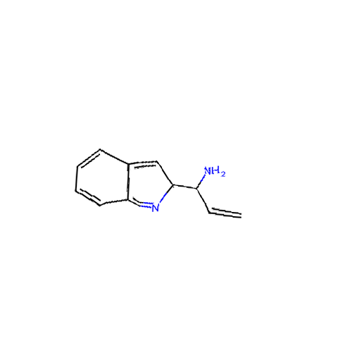 C=CC(N)[C]1C=c2ccccc2=N1